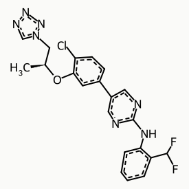 C[C@@H](Cn1cnnn1)Oc1cc(-c2cnc(Nc3ccccc3C(F)F)nc2)ccc1Cl